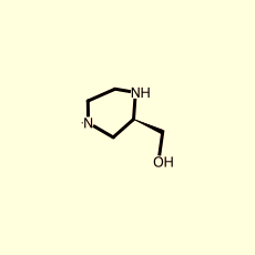 OC[C@H]1C[N]CCN1